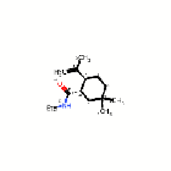 C=C(C)[C@H]1CCC(C)(C)C[C@@H]1C(=O)NCC